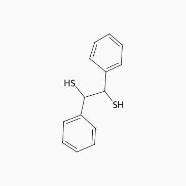 SC(c1ccccc1)C(S)c1ccccc1